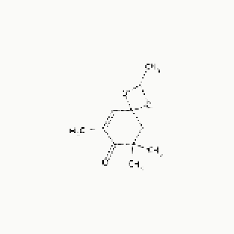 CC1=CC2(CC(C)(C)C1=O)OC(C)O2